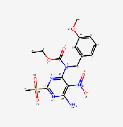 CCOC(=O)N(Cc1cccc(OC)c1)c1nc(S(C)(=O)=O)nc(N)c1[N+](=O)[O-]